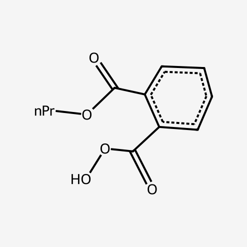 CCCOC(=O)c1ccccc1C(=O)OO